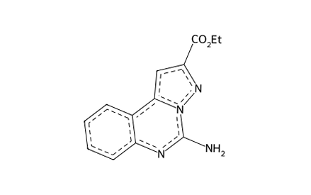 CCOC(=O)c1cc2c3ccccc3nc(N)n2n1